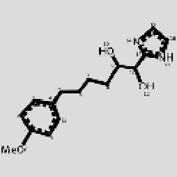 COc1ccc(CCCCC(O)C(O)c2ncc[nH]2)cc1